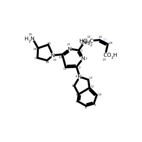 Nc1nc(N2Cc3ccccc3C2)cc(N2CCC(N)C2)n1.O=C(O)/C=C\C(=O)O